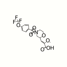 CO/C(=C\C1CN(S(=O)(=O)c2ccc(OC(F)(F)F)cc2)CCO1)C(=O)O